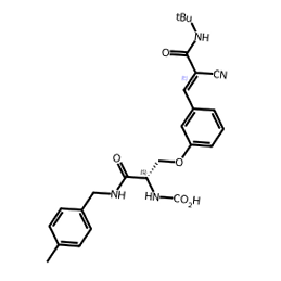 Cc1ccc(CNC(=O)[C@H](COc2cccc(/C=C(\C#N)C(=O)NC(C)(C)C)c2)NC(=O)O)cc1